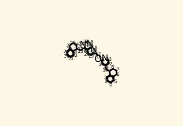 c1ccc2c(c1)CCCC2Cc1ccnc(OCc2ccc3c(CC4CCCc5ccccc54)ncnc3n2)c1